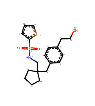 O=S(=O)(NCC1(Cc2ccc(CCO)cc2)CCCC1)c1cccs1